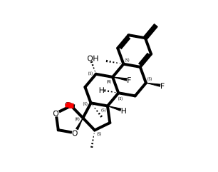 C=C1C=C[C@@]2(C)C(=C1)[C@@H](F)C[C@H]1[C@@H]3C[C@H](C)[C@@]4(OCOC45COCO5)[C@@]3(C)C[C@H](O)[C@@]12F